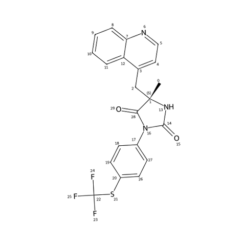 C[C@@]1(Cc2ccnc3ccccc23)NC(=O)N(c2ccc(SC(F)(F)F)cc2)C1=O